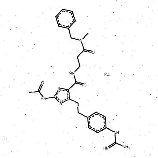 CC(=O)Nc1nc(CCc2ccc(NC(=N)N)cc2)c(C(=O)NCCC(=O)N(C)Cc2ccccc2)s1.Cl